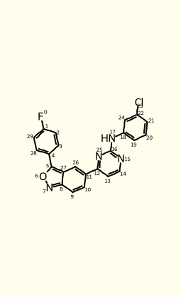 Fc1ccc(-c2onc3ccc(-c4ccnc(Nc5cccc(Cl)c5)n4)cc23)cc1